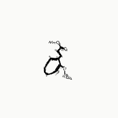 CCCCOc1ccccc1C=CC(=O)OC